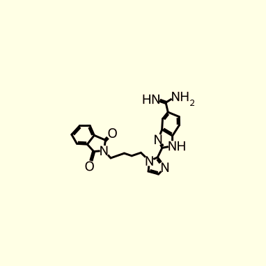 N=C(N)c1ccc2[nH]c(-c3nccn3CCCCN3C(=O)c4ccccc4C3=O)nc2c1